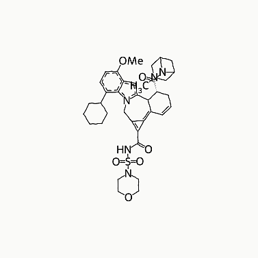 COc1ccc(C2CCCCC2)c2c1cc1n2CC2=C(C(=O)NS(=O)(=O)N3CCOCC3)C2=C2C=CC[C@@H](C(=O)N3C4CC3CN(C)C4)C21